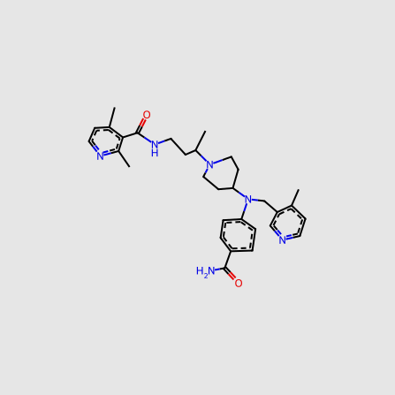 Cc1ccncc1CN(c1ccc(C(N)=O)cc1)C1CCN(C(C)CCNC(=O)c2c(C)ccnc2C)CC1